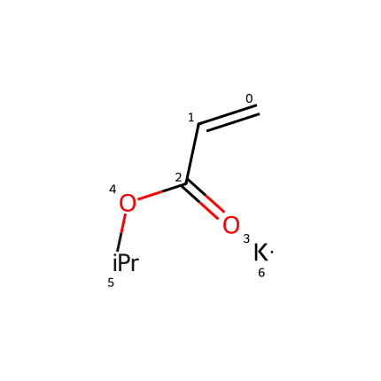 C=CC(=O)OC(C)C.[K]